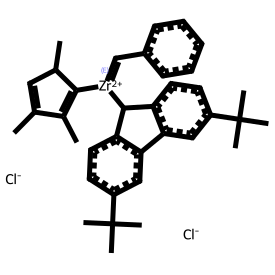 CC1=CC(C)[C](/[Zr+2](=[CH]/c2ccccc2)[CH]2c3ccc(C(C)(C)C)cc3-c3cc(C(C)(C)C)ccc32)=C1C.[Cl-].[Cl-]